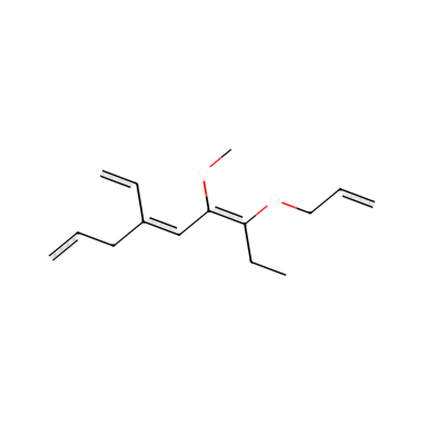 C=CCO/C(CC)=C(/C=C(\C=C)CC=C)OC